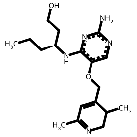 CCC[C@@H](CCO)Nc1nc(N)ncc1OCC1=CC(C)=NCC1C